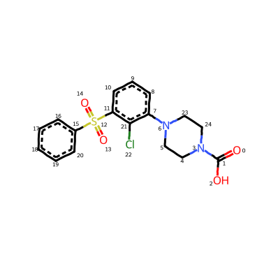 O=C(O)N1CCN(c2cccc(S(=O)(=O)c3ccccc3)c2Cl)CC1